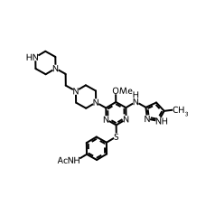 COc1c(Nc2cc(C)[nH]n2)nc(Sc2ccc(NC(C)=O)cc2)nc1N1CCN(CCN2CCNCC2)CC1